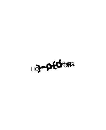 CCC(O)(C#Cc1ccc(C(CC)(CC)c2ccc(BOC(C)(C)C(C)(C)OC)c(C)c2)cc1C)CC